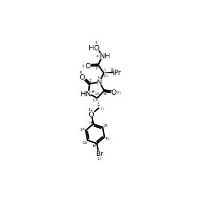 CC(C)[C@H](C(=O)NO)N1C(=O)N[C@@H](COc2ccc(Br)cc2)C1=O